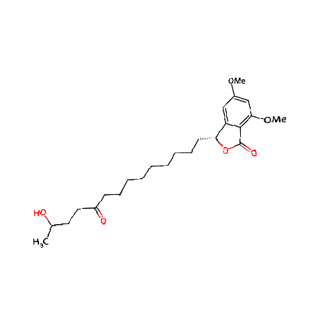 COc1cc(OC)c2c(c1)[C@@H](CCCCCCCCCC(=O)CCC(C)O)OC2=O